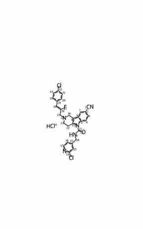 Cl.N#Cc1ccc2c(c1)c1c(n2C(=O)NCc2ccnc(Cl)c2)CCN(C/C(F)=C/c2ccc(Cl)cc2)C1